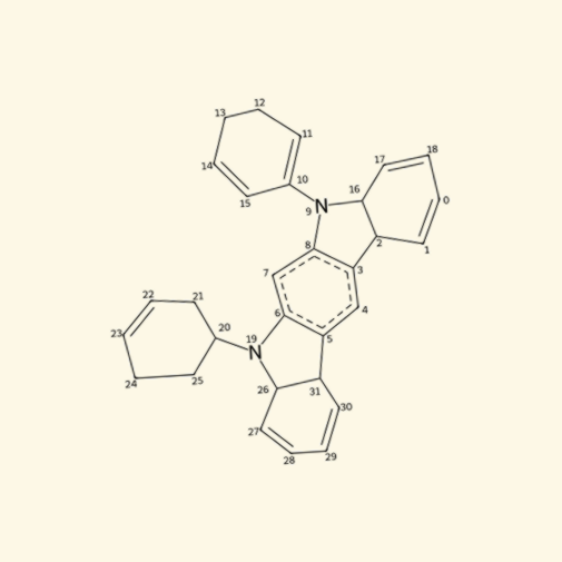 C1=CC2c3cc4c(cc3N(C3=CCCC=C3)C2C=C1)N(C1CC=CCC1)C1C=CC=CC41